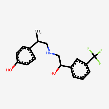 CC(CNCC(O)c1cccc(C(F)(F)F)c1)c1ccc(O)cc1